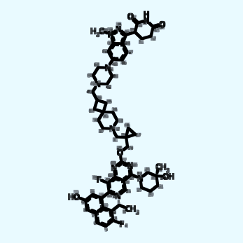 CCc1c(F)ccc2cc(O)cc(-c3ncc4c(N5CCC[C@@](C)(O)C5)nc(OCC5(CN6CCC7(CC6)CC(CN6CCN(c8ccc9c(C%10CCC(=O)NC%10=O)nn(C)c9c8)CC6)C7)CC5)nc4c3F)c12